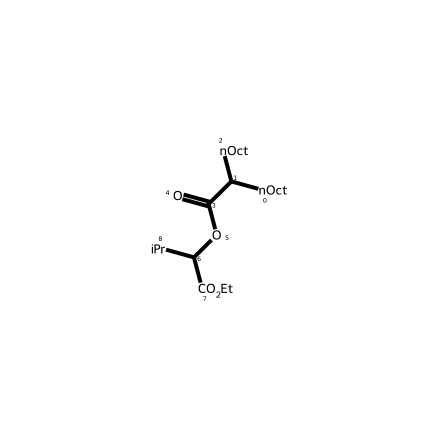 CCCCCCCCC(CCCCCCCC)C(=O)OC(C(=O)OCC)C(C)C